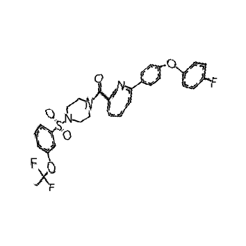 CC(F)(F)Oc1cccc(S(=O)(=O)N2CCN(C(=O)c3cccc(-c4ccc(Oc5ccc(F)cc5)cc4)n3)CC2)c1